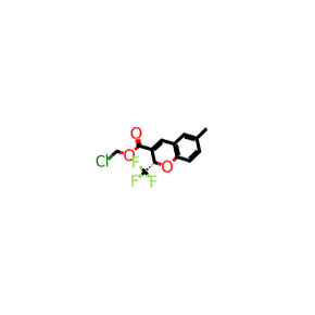 Cc1ccc2c(c1)C=C(C(=O)OCCl)[C@@H](C(F)(F)F)O2